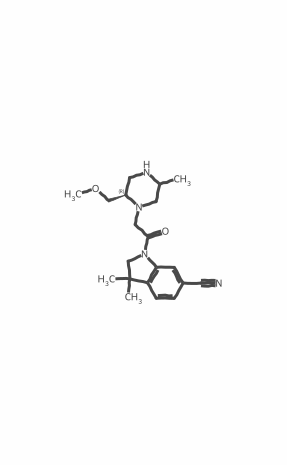 COC[C@H]1CNC(C)CN1CC(=O)N1CC(C)(C)c2ccc(C#N)cc21